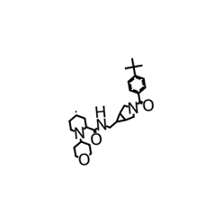 CC(C)(C)c1ccc(C(=O)N2CC3C(CNC(=O)C4C[CH]CCN4C4CCOCC4)C3C2)cc1